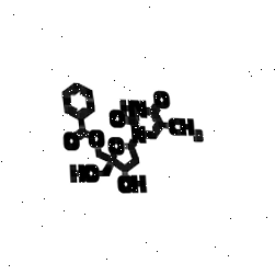 Cc1cn([C@H]2CC(O)[C@](CO)(COC(=O)c3ccccc3)O2)c(=O)[nH]c1=O